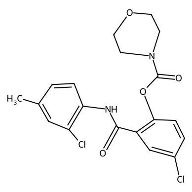 Cc1ccc(NC(=O)c2cc(Cl)ccc2OC(=O)N2CCOCC2)c(Cl)c1